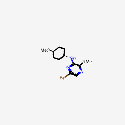 CNc1ncc(Br)nc1N[C@H]1CC[C@H](OC)CC1